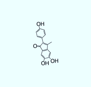 CC1=C(c2ccc(O)cc2)C(=O)c2cc(O)c(O)cc21